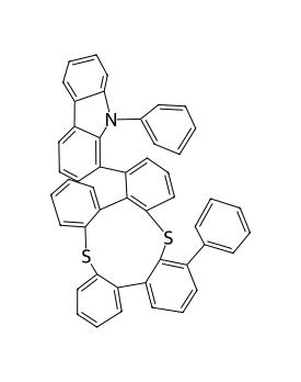 c1ccc(-c2cccc3c2Sc2cccc(-c4cccc5c6ccccc6n(-c6ccccc6)c45)c2-c2ccccc2Sc2ccccc2-3)cc1